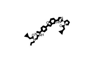 CCCN(Cc1ncc(-c2ccc(-c3cc4cc(-c5cnc([C@@H]6CCCN6C(=O)CC6CC6)[nH]5)ccc4o3)cc2)[nH]1)C(=O)CC1CC1